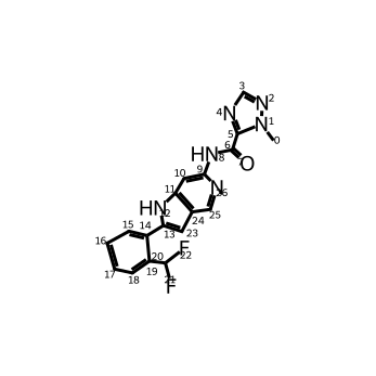 Cn1ncnc1C(=O)Nc1cc2[nH]c(-c3ccccc3C(F)F)cc2cn1